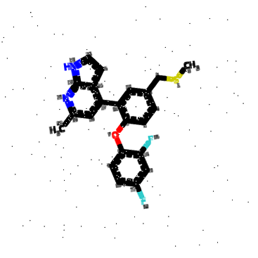 CSCc1ccc(Oc2ccc(F)cc2F)c(-c2cc(C)nc3[nH]ccc23)c1